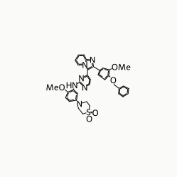 COc1ccc(N2CCS(=O)(=O)CC2)cc1Nc1nccc(-c2c(-c3ccc(OCc4ccccc4)c(OC)c3)nc3ccccn23)n1